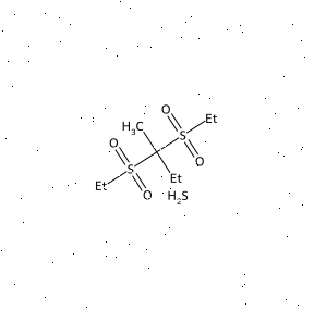 CCC(C)(S(=O)(=O)CC)S(=O)(=O)CC.S